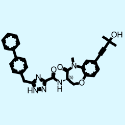 CN1C(=O)[C@@H](NC(=O)c2n[nH]c(Cc3ccc(-c4ccccc4)cc3)n2)COc2ccc(C#CC(C)(C)O)cc21